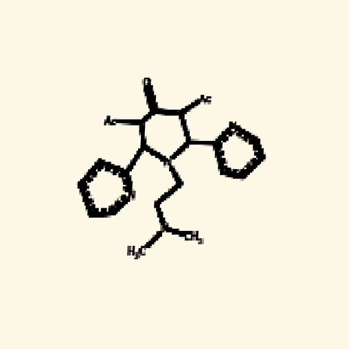 CC(=O)C1C(=O)C(C(C)=O)C(c2ccccn2)N(CCN(C)C)C1c1ccccn1